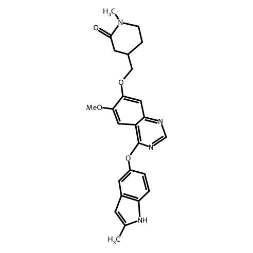 COc1cc2c(Oc3ccc4[nH]c(C)cc4c3)ncnc2cc1OCC1CCN(C)C(=O)C1